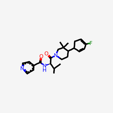 CC(C)[C@@H](NC(=O)c1ccncc1)C(=O)N1CCC(C2C=CC(F)=CC2)C(C)(C)C1